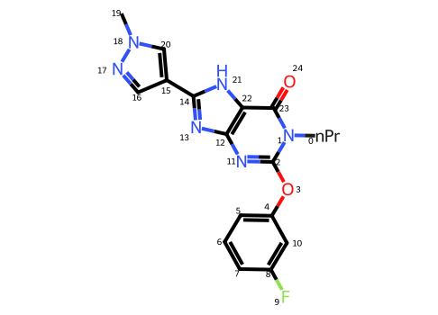 CCCn1c(Oc2cccc(F)c2)nc2nc(-c3cnn(C)c3)[nH]c2c1=O